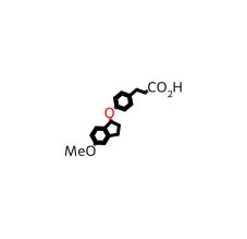 COc1ccc2c(c1)CCC2Oc1ccc(CCC(=O)O)cc1